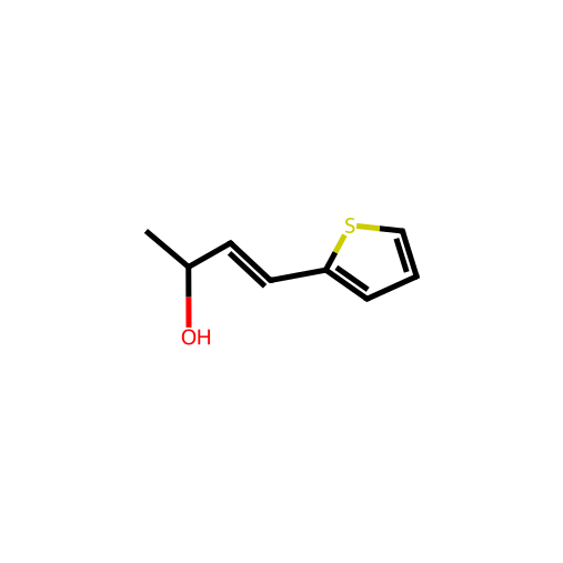 CC(O)/C=C/c1cccs1